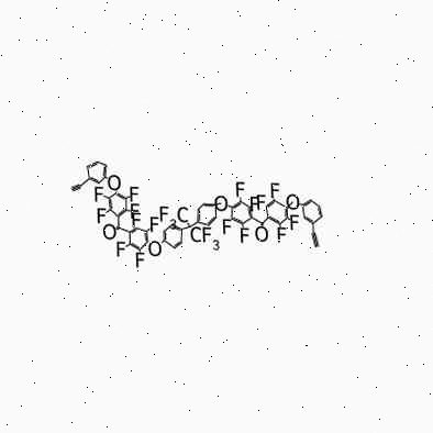 C#Cc1cccc(Oc2c(F)c(F)c(C(=O)c3c(F)c(F)c(Oc4ccc(C(c5ccc(Oc6c(F)c(F)c(C(=O)c7c(F)c(F)c(Oc8cccc(C#C)c8)c(F)c7F)c(F)c6F)cc5)(C(F)(F)F)C(F)(F)F)cc4)c(F)c3F)c(F)c2F)c1